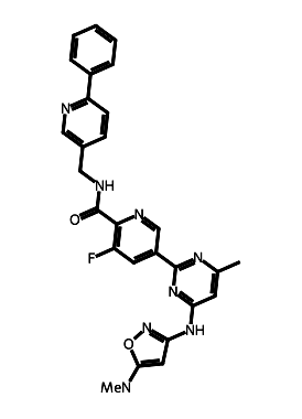 CNc1cc(Nc2cc(C)nc(-c3cnc(C(=O)NCc4ccc(-c5ccccc5)nc4)c(F)c3)n2)no1